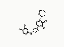 O=c1c(Cl)c(N2CCC(Oc3cc(Br)c(Cl)cn3)C2)cnn1C1CCCCO1